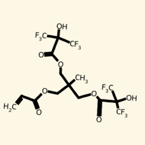 C=CC(=O)OCC(C)(COC(=O)C(O)(C(F)(F)F)C(F)(F)F)COC(=O)C(O)(C(F)(F)F)C(F)(F)F